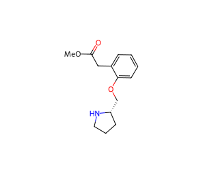 COC(=O)Cc1ccccc1OC[C@@H]1CCCN1